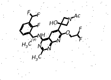 CC(=O)N1CC(O)(c2cc3c(N[C@H](C)c4cccc(C(F)F)c4F)nc(C)nc3nc2OCC(F)F)C1